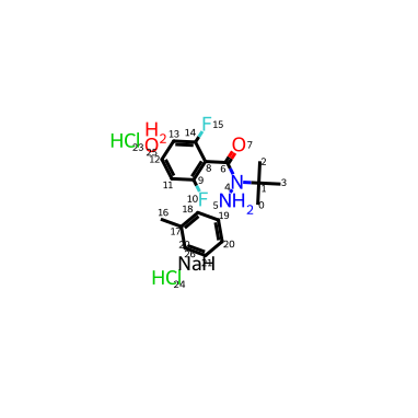 CC(C)(C)N(N)C(=O)c1c(F)cccc1F.Cc1ccccc1.Cl.Cl.O.[NaH]